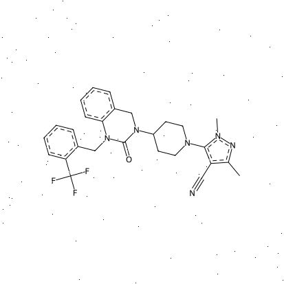 Cc1nn(C)c(N2CCC(N3Cc4ccccc4N(Cc4ccccc4C(F)(F)F)C3=O)CC2)c1C#N